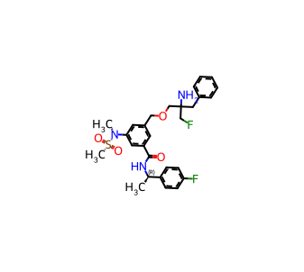 C[C@@H](NC(=O)c1cc(COCC(N)(CF)Cc2ccccc2)cc(N(C)S(C)(=O)=O)c1)c1ccc(F)cc1